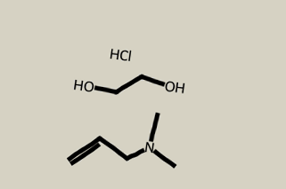 C=CCN(C)C.Cl.OCCO